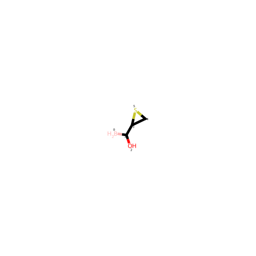 BC(O)C1CS1